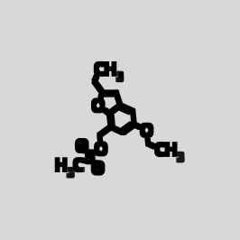 CCOc1cc(COS(C)(=O)=O)c2oc(CC)cc2c1